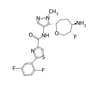 Cn1ncc(NC(=O)c2csc(-c3cc(F)ccc3F)n2)c1[C@@H]1CC[C@@H](N)[C@H](F)CO1